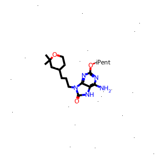 CCC[C@H](C)Oc1nc(N)c2[nH]c(=O)n(CCCC3CCOC(C)(C)C3)c2n1